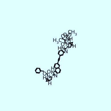 COC(=O)N[C@H](C(=O)N1[C@@H]2C[C@@H]2C[C@H]1c1nc2cc(C#Cc3ccc4c(ccc5nc([C@@H]6C[C@H]7C[C@H]7N6C(=O)OCc6ccccc6)[nH]c54)c3)ccc2[nH]1)C(C)C